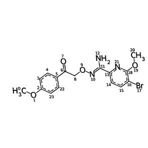 COc1ccc(C(=O)CO/N=C(\N)c2ccc(Br)c(OC)n2)cc1